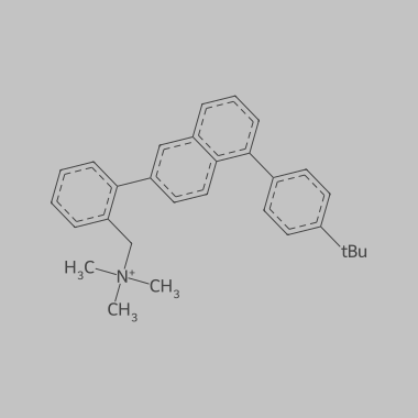 CC(C)(C)c1ccc(-c2cccc3cc(-c4ccccc4C[N+](C)(C)C)ccc23)cc1